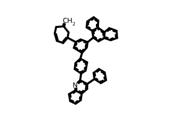 C=C1CC=CC=C(c2cc(-c3ccc(-c4nc5ccccc5cc4-c4ccccc4)cc3)cc(-c3cc4ccccc4c4ccccc34)c2)C1